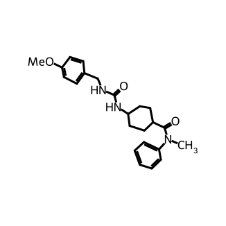 COc1ccc(CNC(=O)NC2CCC(C(=O)N(C)c3ccccc3)CC2)cc1